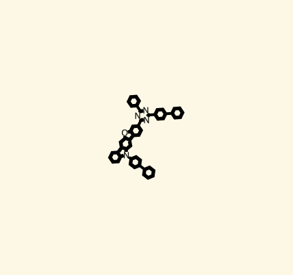 c1ccc(-c2ccc(-c3nc(-c4ccccc4)nc(-c4ccc5c(c4)oc4cc6c7ccccc7n(-c7ccc(-c8ccccc8)cc7)c6cc45)n3)cc2)cc1